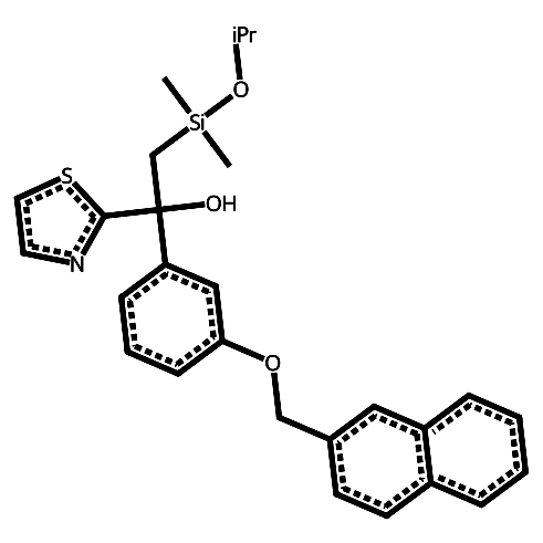 CC(C)O[Si](C)(C)CC(O)(c1cccc(OCc2ccc3ccccc3c2)c1)c1nccs1